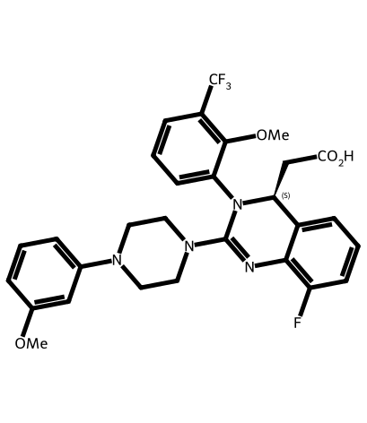 COc1cccc(N2CCN(C3=Nc4c(F)cccc4[C@H](CC(=O)O)N3c3cccc(C(F)(F)F)c3OC)CC2)c1